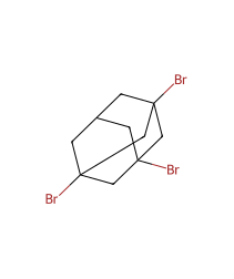 BrC12CC3CC(Br)(C1)CC(Br)(C3)C2